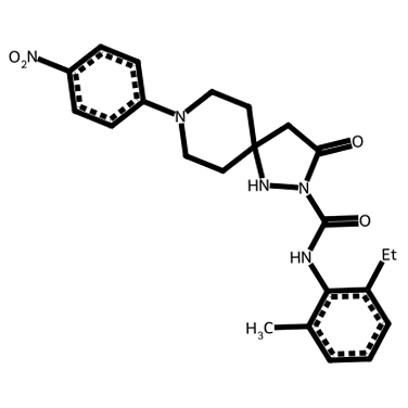 CCc1cccc(C)c1NC(=O)N1NC2(CCN(c3ccc([N+](=O)[O-])cc3)CC2)CC1=O